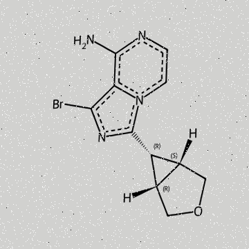 Nc1nccn2c([C@@H]3[C@@H]4COC[C@@H]43)nc(Br)c12